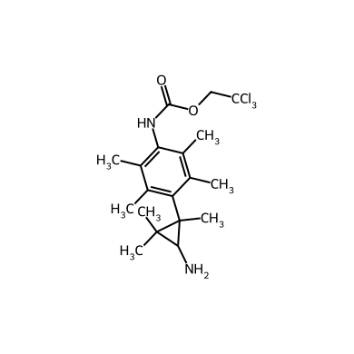 Cc1c(C)c(C2(C)C(N)C2(C)C)c(C)c(C)c1NC(=O)OCC(Cl)(Cl)Cl